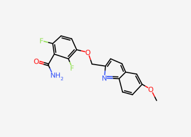 COc1ccc2nc(COc3ccc(F)c(C(N)=O)c3F)ccc2c1